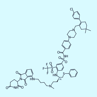 CN(CCCCNc1cccc2c1C(=O)N(C1CCC(=O)NC1=O)C2=O)CC[C@H](CSc1ccccc1)Nc1ccc(S(=O)(=O)NC(=O)c2ccc(N3CCN(CC4=C(c5ccc(Cl)cc5)CCC(C)(C)C4)CC3)cc2)cc1S(=O)(=O)C(F)(F)F